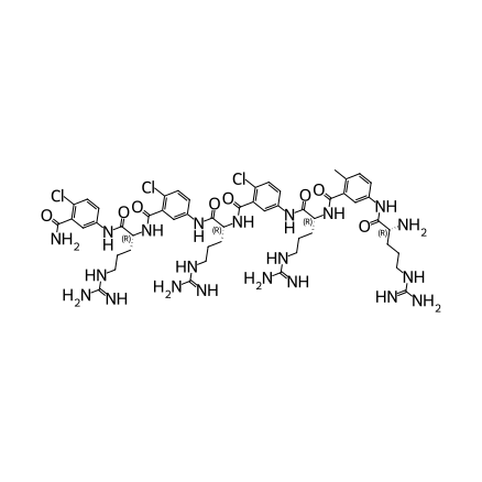 Cc1ccc(NC(=O)[C@H](N)CCCNC(=N)N)cc1C(=O)N[C@H](CCCNC(=N)N)C(=O)Nc1ccc(Cl)c(C(=O)N[C@H](CCCNC(=N)N)C(=O)Nc2ccc(Cl)c(C(=O)N[C@H](CCCNC(=N)N)C(=O)Nc3ccc(Cl)c(C(N)=O)c3)c2)c1